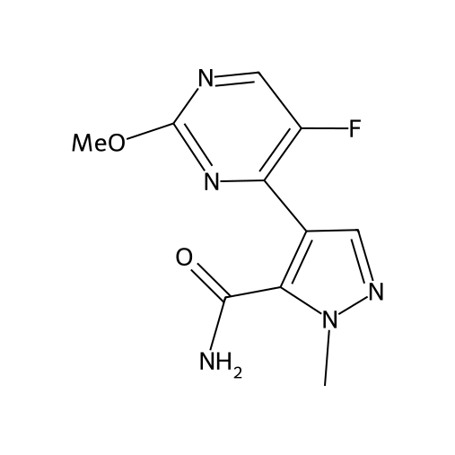 COc1ncc(F)c(-c2cnn(C)c2C(N)=O)n1